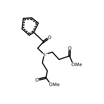 COC(=O)CC[S+](CCC(=O)OC)CC(=O)c1ccccc1